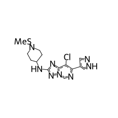 CSN1CCC(Nc2nc3c(Cl)c(-c4cn[nH]c4)ncn3n2)CC1